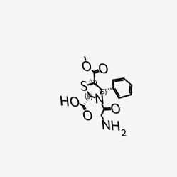 COC(=O)[C@@H]1S[C@@H](C(=O)O)N(C(=O)CN)[C@H]1c1ccccc1